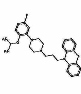 CC(C)Oc1ccc(F)cc1N1CCN(CCCN2c3ccccc3Sc3ccccc32)CC1